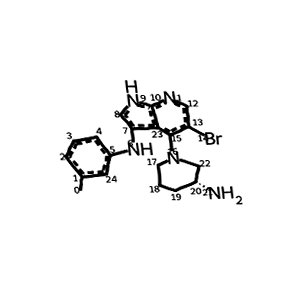 Cc1cccc(Nc2c[nH]c3ncc(Br)c(N4CCC[C@@H](N)C4)c23)c1